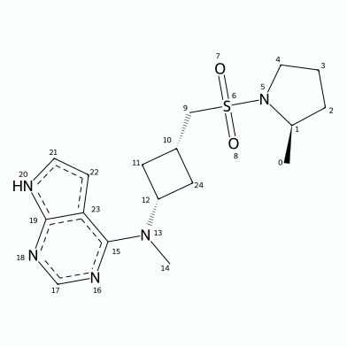 C[C@@H]1CCCN1S(=O)(=O)C[C@H]1C[C@@H](N(C)c2ncnc3[nH]ccc23)C1